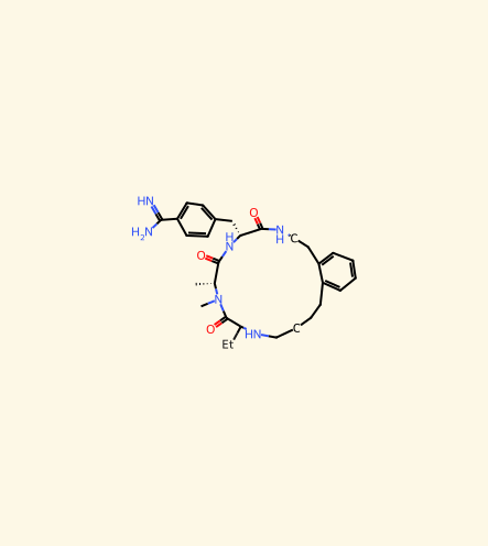 CCC1NCCCCc2ccccc2CCNC(=O)[C@@H](Cc2ccc(C(=N)N)cc2)NC(=O)[C@@H](C)N(C)C1=O